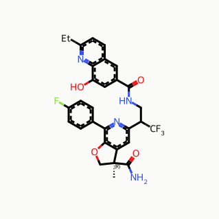 CCc1ccc2cc(C(=O)NCC(c3cc4c(c(-c5ccc(F)cc5)n3)OC[C@]4(C)C(N)=O)C(F)(F)F)cc(O)c2n1